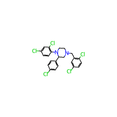 Clc1ccc(C2CN(Cc3cc(Cl)ccc3Cl)CCN2c2ccc(Cl)cc2Cl)cc1